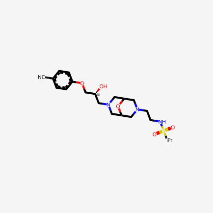 CC(C)S(=O)(=O)NCCN1CC2CN(C[C@H](O)COc3ccc(C#N)cc3)CC(C1)O2